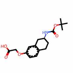 CC(C)(C)OC(=O)N[C@H]1CCc2ccc(OCC(=O)O)cc2C1